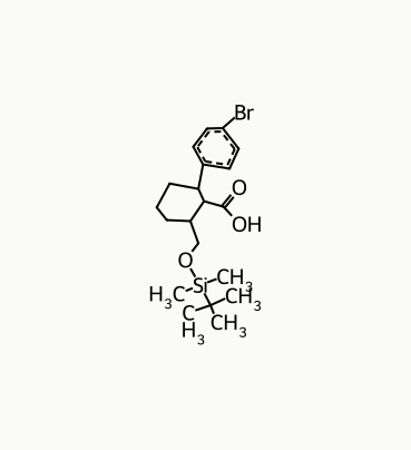 CC(C)(C)[Si](C)(C)OCC1CCCC(c2ccc(Br)cc2)C1C(=O)O